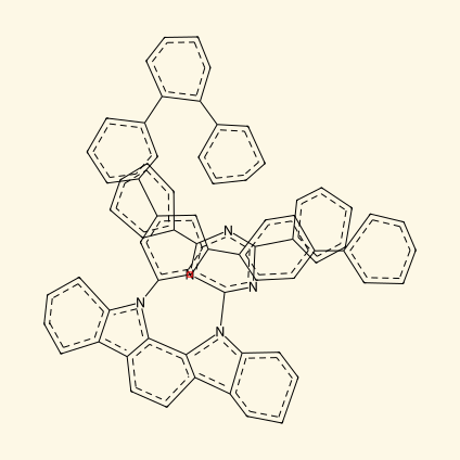 c1ccc(-c2ccc(-c3cc(-c4cccc(-c5ccccc5-c5ccccc5)c4)cc(-n4c5ccccc5c5ccc6c7ccccc7n(-c7nc(-c8ccccc8)nc(-c8ccccc8)n7)c6c54)c3)cc2)cc1